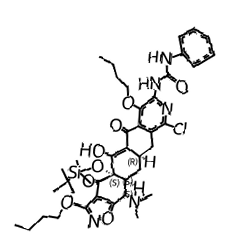 CCCCOc1noc2c1C(=O)[C@@]1(O[Si](C)(C)C(C)(C)C)C(O)=C3C(=O)c4c(c(Cl)nc(NC(=O)Nc5ccccc5)c4OCCCC)C[C@H]3C[C@H]1[C@@H]2N(C)C